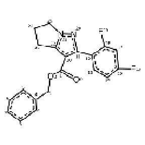 O=C(OCc1ccccc1)c1c(-c2ccc(F)cc2F)nn2c1CCC2